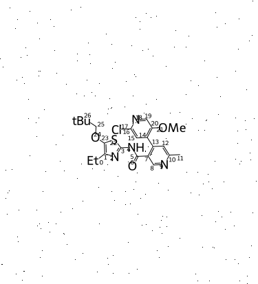 CCc1nc(NC(=O)c2cnc(C)cc2-c2cc(Cl)ncc2OC)sc1OCC(C)(C)C